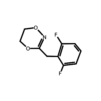 Fc1cccc(F)c1CC1=NOCCO1